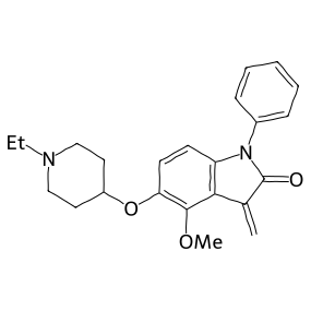 C=C1C(=O)N(c2ccccc2)c2ccc(OC3CCN(CC)CC3)c(OC)c21